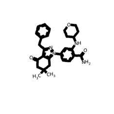 CC1(C)CC(=O)c2c(Cc3ccccc3)nn(-c3ccc(C(N)=O)c(NC4CCOCC4)c3)c2C1